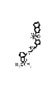 CC1(C)Cc2cccc(OCCNCc3cccc(NS(=O)(=O)c4ccc5ccccc5c4)c3)c2O1